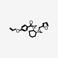 C=CCOc1ccc(C(=O)N(C)[C@@H]2CCCC[C@H]2N(C)Cc2ccco2)cc1